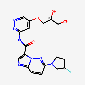 O=C(Nc1cc(OC[C@@H](O)CO)cnn1)c1cnc2ccc(N3CC[C@H](F)C3)nn12